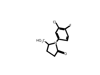 O=C(O)C1CCC(=O)N1c1ccc(F)c(Cl)c1